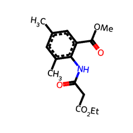 CCOC(=O)CC(=O)Nc1c(C)cc(C)cc1C(=O)OC